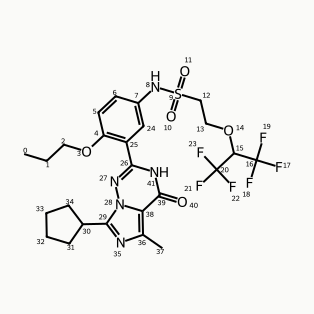 CCCOc1ccc(NS(=O)(=O)CCOC(C(F)(F)F)C(F)(F)F)cc1-c1nn2c(C3CCCC3)nc(C)c2c(=O)[nH]1